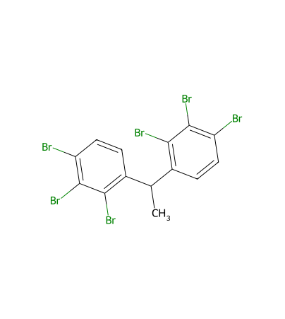 CC(c1ccc(Br)c(Br)c1Br)c1ccc(Br)c(Br)c1Br